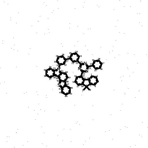 CC1(C)c2ccccc2-c2c(-c3nc(-c4ccccc4)nc(-c4cccc(-c5cccc(-n6c7ccccc7c7c8sc9ccccc9c8ccc76)c5)c4)n3)cccc21